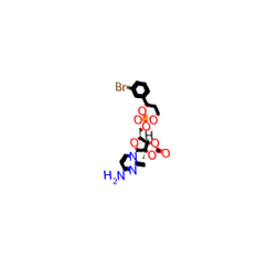 C=C1N=C(N)C=CN1[C@@H]1O[C@H](COP2(=O)OCCC(c3cccc(Br)c3)O2)[C@H]2OC(=O)O[C@]21C